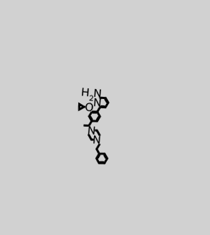 CC(c1ccc(-c2cccc(N)n2)c(OC2CC2)c1)N1CCN(CCc2ccccc2)CC1